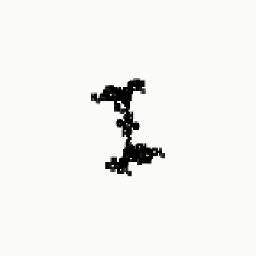 CCC(C)/C=C\C(C)(C)CC(O)CN(CCCCC1NC(=O)C(CCCCN(CC(O)CC(C)(C)/C=C\C(C)(C)CC)CC(O)C(C)(C)C/C=C\C(C)(C)CC(C)(C)C)NC1=O)CC(O)C(C)(C)C/C=C\C(C)(C)CC(C)(C)C